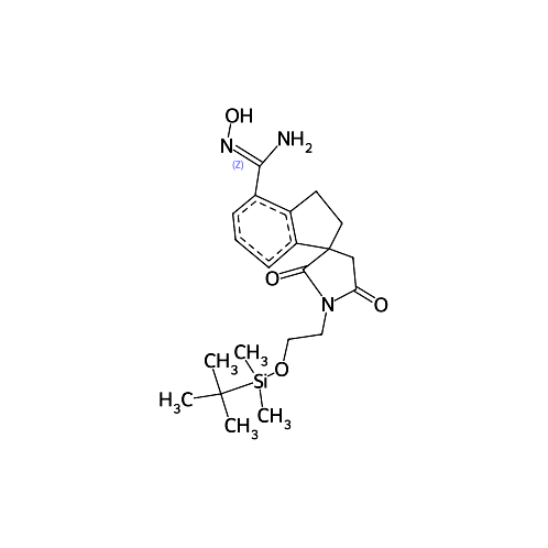 CC(C)(C)[Si](C)(C)OCCN1C(=O)CC2(CCc3c(/C(N)=N/O)cccc32)C1=O